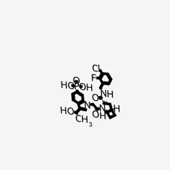 CC(O)c1cn(CC(=O)N2[C@@H]3CC[C@@H]3C[C@H]2C(=O)NCc2cccc(Cl)c2F)c2cc(P(=O)(O)O)ccc12